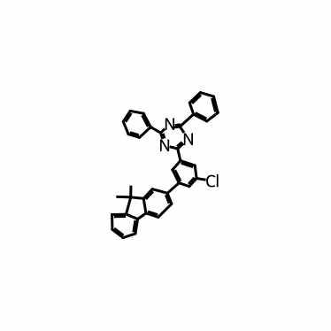 CC1(C)c2ccccc2-c2ccc(-c3cc(Cl)cc(-c4nc(-c5ccccc5)nc(-c5ccccc5)n4)c3)cc21